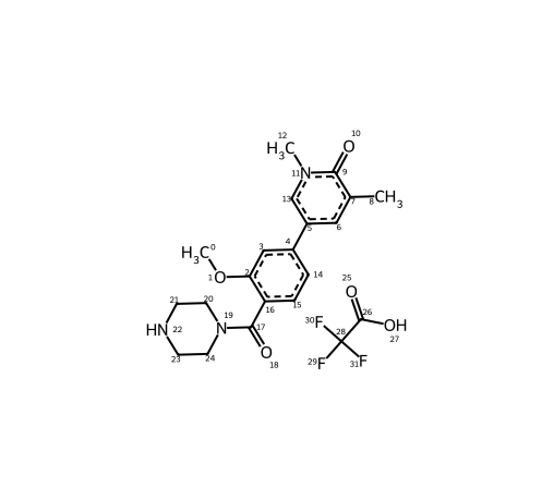 COc1cc(-c2cc(C)c(=O)n(C)c2)ccc1C(=O)N1CCNCC1.O=C(O)C(F)(F)F